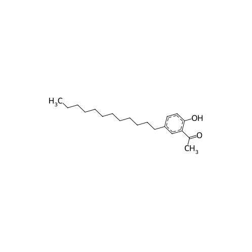 CCCCCCCCCCCCc1ccc(O)c(C(C)=O)c1